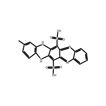 Cc1ccc2c(c1)Nc1c(c(S(=O)(=O)O)c3nc4ccccc4nc3c1S(=O)(=O)O)N2